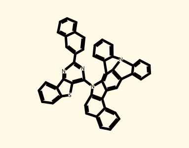 c1ccc2cc(-c3nc(-n4c5ccc6ccccc6c5c5cc6c7ccccc7n7c8ccccc8c(c54)c67)c4sc5ccccc5c4n3)ccc2c1